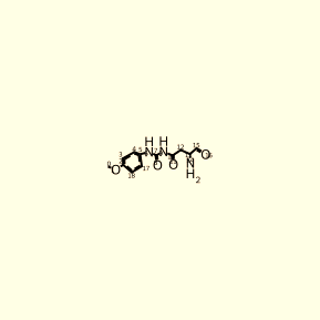 COc1ccc(NC(=O)NC(=O)C[C@H](N)C=O)cc1